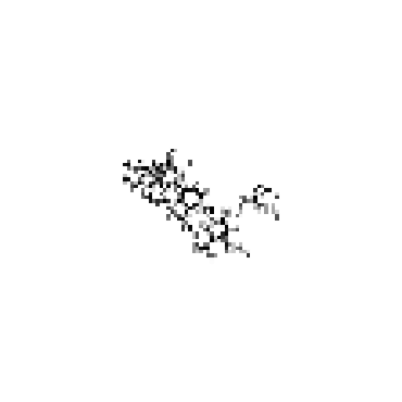 COc1c([C@H](CC(C)C)O[Si](C)(C)C(C)(C)C)ccc2c1C(=O)OCc1c(c(OCCC(C)C)cc(C)c1C(F)F)O2